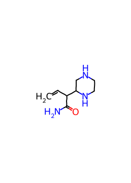 C=CC(C(N)=O)C1CNCCN1